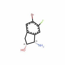 N[C@H]1c2cc(F)c(Br)cc2C[C@H]1O